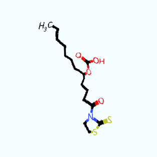 CCCCCCCC(CCCC(=O)N1CCSC1=S)OC(=O)O